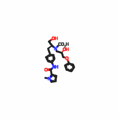 Cn1cccc1C(=O)Nc1ccc(C[C@@H](CO)N(C[C@H](O)COc2ccccc2)C(=O)O)cc1